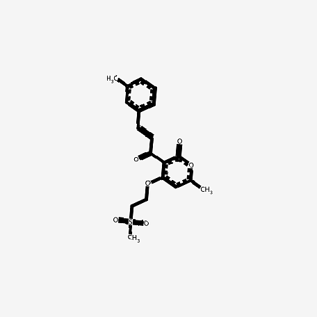 Cc1cccc(/C=C/C(=O)c2c(OCCS(C)(=O)=O)cc(C)oc2=O)c1